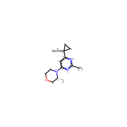 Bc1nc(N2CCOC[C@H]2C)cc(C2(SC)CC2)n1